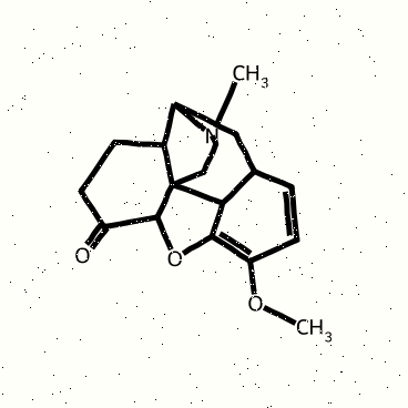 COC1=C2OC3C(=O)CCC4C5CC(C=C1)C2C34CCN5C